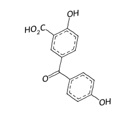 O=C(c1ccc(O)cc1)c1ccc(O)c(C(=O)O)c1